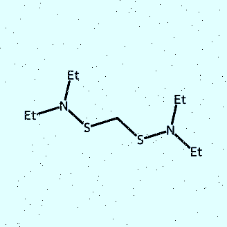 CCN(CC)SCSN(CC)CC